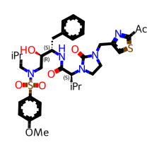 COc1ccc(S(=O)(=O)N(CC(C)C)C[C@@H](O)[C@H](Cc2ccccc2)NC(=O)[C@H](C(C)C)N2CCN(Cc3csc(C(C)=O)n3)C2=O)cc1